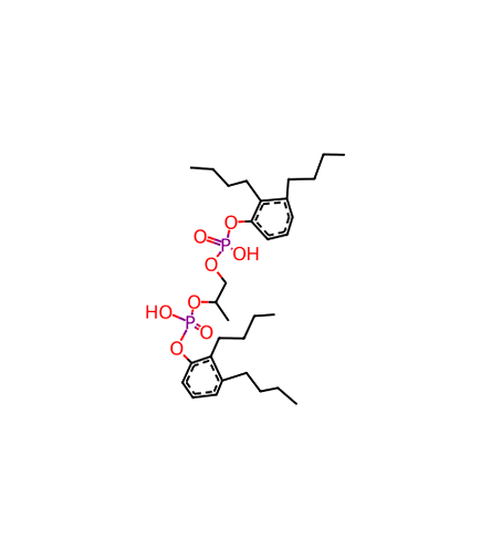 CCCCc1cccc(OP(=O)(O)OCC(C)OP(=O)(O)Oc2cccc(CCCC)c2CCCC)c1CCCC